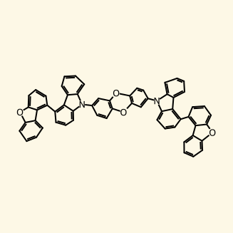 c1ccc2c(c1)oc1cccc(-c3cccc4c3c3ccccc3n4-c3ccc4c(c3)Oc3ccc(-n5c6ccccc6c6c(-c7cccc8oc9ccccc9c78)cccc65)cc3O4)c12